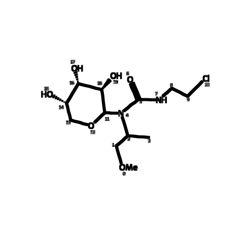 COCC(C)N(C(=O)NCCCl)C1OC[C@H](O)[C@H](O)[C@H]1O